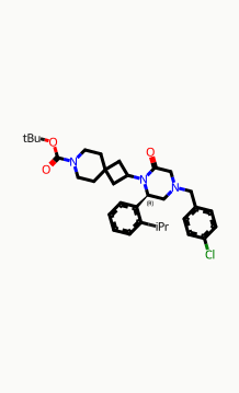 CC(C)c1ccccc1[C@@H]1CN(Cc2ccc(Cl)cc2)CC(=O)N1C1CC2(CCN(C(=O)OC(C)(C)C)CC2)C1